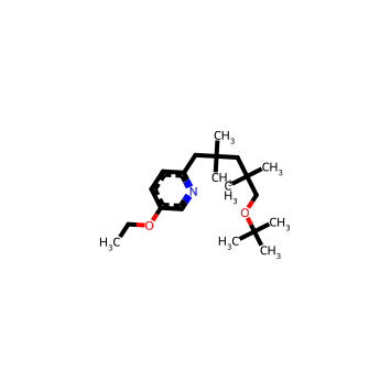 CCOc1ccc(CC(C)(C)CC(C)(C)COC(C)(C)C)nc1